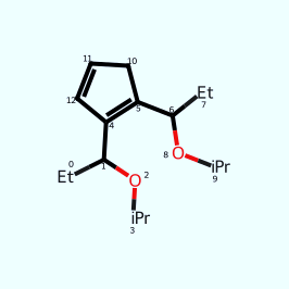 CCC(OC(C)C)C1=C(C(CC)OC(C)C)CC=C1